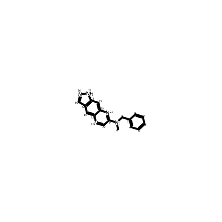 CN(Cc1ccccc1)c1cnc2cc3cn[nH]c3cc2n1